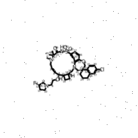 CN1CC=C[C@H](OCCN2CC[C@@H](F)C2)[C@@H]2CC[C@H]2CN2C[C@@]3(CCCc4cc(Cl)ccc43)COc3ccc(cc32)S(=O)(=O)NC(=O)C1(C)C